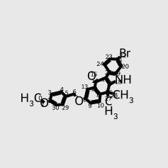 COc1ccc(COc2ccc3c(c2)C(=O)c2c([nH]c4cc(Br)ccc24)C3(C)C)cc1